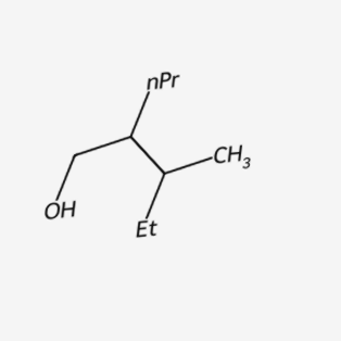 CCCC(CO)C(C)CC